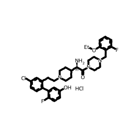 CCOc1cccc(F)c1CN1CCN(C(=O)[C@H](N)C2CCN(CCc3cc(Cl)ccc3-c3cc(O)ccc3F)CC2)CC1.Cl